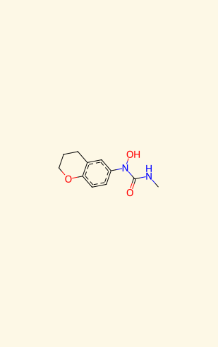 CNC(=O)N(O)c1ccc2c(c1)CCCO2